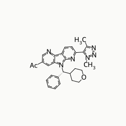 CC(=O)c1cnc2c3ccc(-c4c(C)nnn4C)nc3n([C@@H](c3ccccc3)C3CCOCC3)c2c1